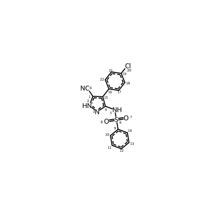 N#Cc1[nH]nc(NS(=O)(=O)c2ccccc2)c1-c1ccc(Cl)cc1